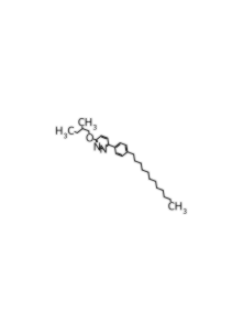 CCCCCCCCCCCCc1ccc(-c2ccc(OCC(C)CC)nn2)cc1